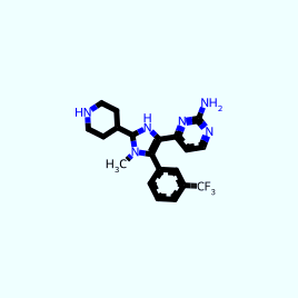 CN1C(c2cccc(C(F)(F)F)c2)=C(c2ccnc(N)n2)NC1C1CCNCC1